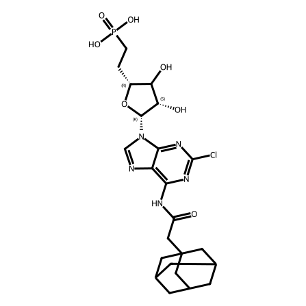 O=C(CC12CC3CC(CC(C3)C1)C2)Nc1nc(Cl)nc2c1ncn2[C@@H]1O[C@H](CCP(=O)(O)O)C(O)[C@@H]1O